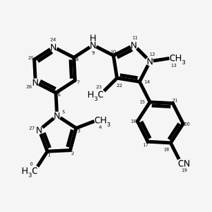 Cc1cc(C)n(-c2cc(Nc3nn(C)c(-c4ccc(C#N)cc4)c3C)ncn2)n1